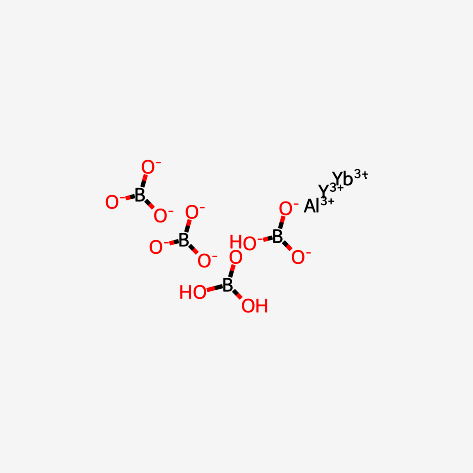 OB(O)O.[Al+3].[O-]B([O-])[O-].[O-]B([O-])[O-].[O-]B([O-])[O-].[Y+3].[Yb+3]